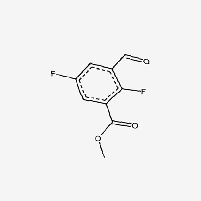 COC(=O)c1cc(F)cc(C=O)c1F